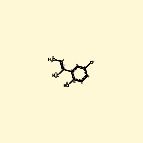 C/N=C(\C)c1cc(Cl)ccc1O